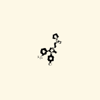 C=C1N(CC[S+]([O-])N2CCCC2)C[C@H](c2cccc(C(F)(F)F)c2)N1c1ccc(Cl)cc1